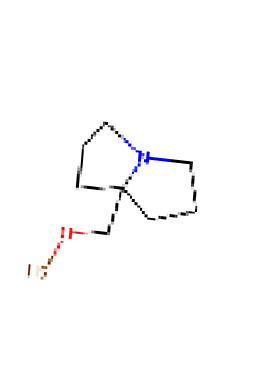 SOCC12CCCN1CCC2